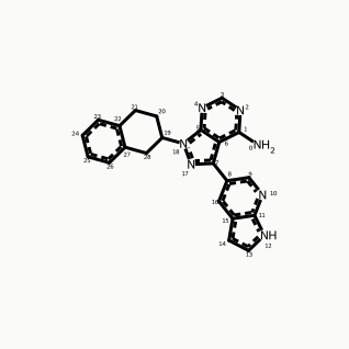 Nc1ncnc2c1c(-c1cnc3[nH]ccc3c1)nn2C1CCc2ccccc2C1